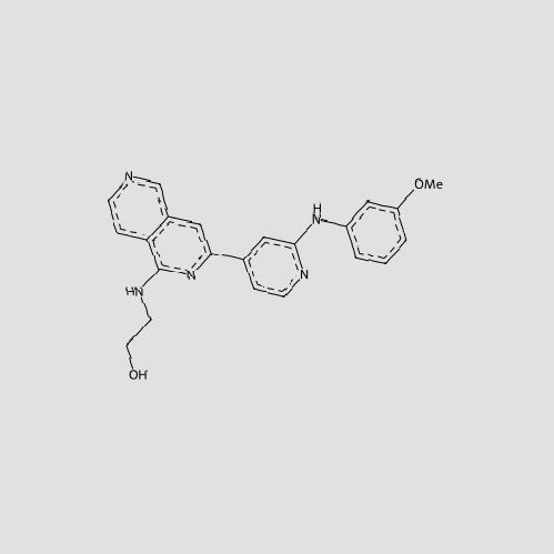 COc1cccc(Nc2cc(-c3cc4cnccc4c(NCCO)n3)ccn2)c1